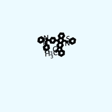 CC1(C)c2ccccc2-c2cc3c(-c4nc5ccccc5s4)c4ccccc4c(-c4ccc(-c5nc6ccccc6n5-c5ccccc5)cc4)c3cc21